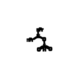 CCCN(CCC)O[SH](=O)=O